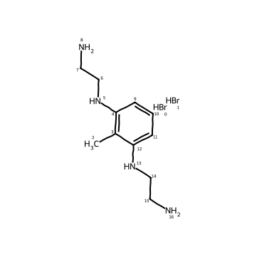 Br.Br.Cc1c(NCCN)cccc1NCCN